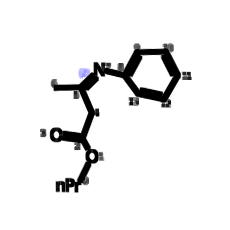 CCCOC(=O)C/C(C)=N\c1ccccc1